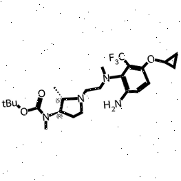 C[C@H]1[C@H](N(C)C(=O)OC(C)(C)C)CCN1CCN(C)c1c(N)ccc(OC2CC2)c1C(F)(F)F